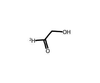 [2H]C(=O)CO